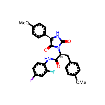 COc1ccc(C[C@@H](C(=O)Nc2ccc(I)cc2F)N2C(=O)N[C@H](c3ccc(OC)cc3)C2=O)cc1